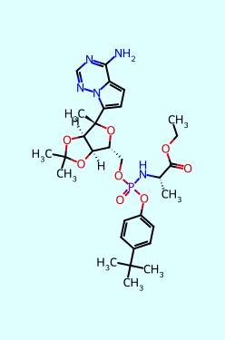 CCOC(=O)[C@H](C)NP(=O)(OC[C@H]1O[C@@](C)(c2ccc3c(N)ncnn23)[C@@H]2OC(C)(C)O[C@@H]21)Oc1ccc(C(C)(C)C)cc1